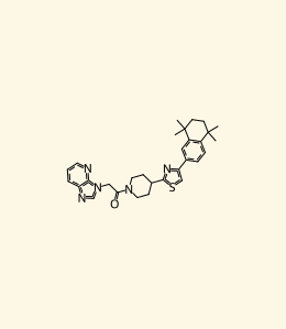 CC1(C)CCC(C)(C)c2cc(-c3csc(C4CCN(C(=O)Cn5cnc6cccnc65)CC4)n3)ccc21